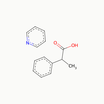 CC(C(=O)O)c1ccccc1.c1ccncc1